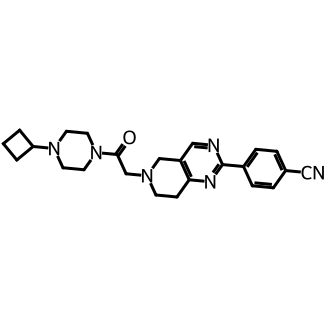 N#Cc1ccc(-c2ncc3c(n2)CCN(CC(=O)N2CCN(C4CCC4)CC2)C3)cc1